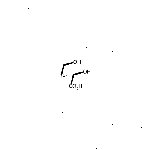 CCCCO.O=C(O)CO